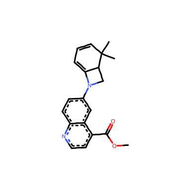 COC(=O)c1ccnc2ccc(N3CC4C3=CC=CC4(C)C)cc12